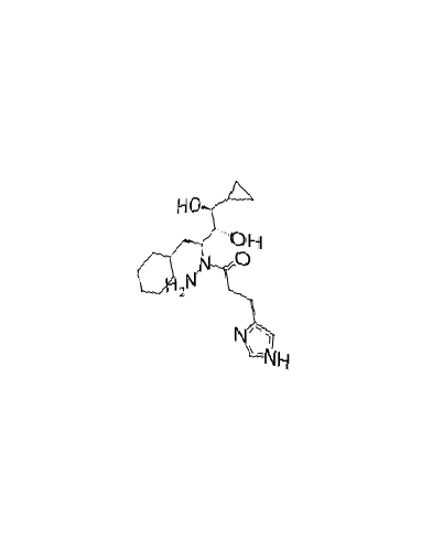 NN(C(=O)CCc1c[nH]cn1)[C@@H](CC1CCCCC1)[C@@H](O)[C@@H](O)C1CC1